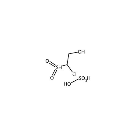 O=S(=O)(O)O.O=[SH](=O)C(Cl)CO